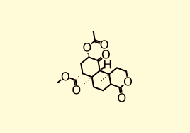 COC(=O)[C@@H]1C[C@H](OC(C)=O)C(=O)[C@H]2[C@@]1(C)CCC1C(=O)OCC[C@@]12C